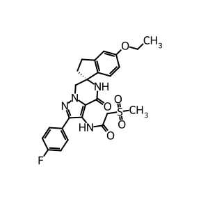 CCOc1ccc2c(c1)CC[C@]21Cn2nc(-c3ccc(F)cc3)c(NC(=O)CS(C)(=O)=O)c2C(=O)N1